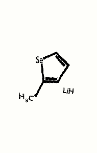 Cc1ccc[se]1.[LiH]